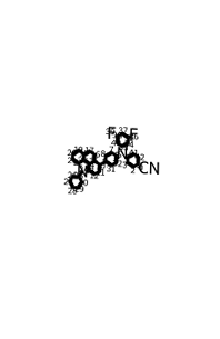 N#Cc1ccc(N(c2ccc(-c3ccc4c5c3ccc3cccc(c35)n4-c3ccccc3)cc2)c2cc(F)cc(F)c2)cc1